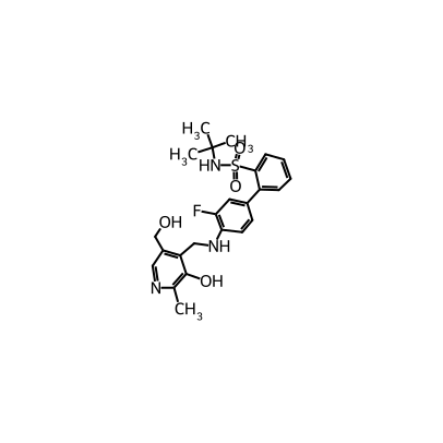 Cc1ncc(CO)c(CNc2ccc(-c3ccccc3S(=O)(=O)NC(C)(C)C)cc2F)c1O